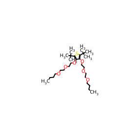 CCCCOCCOCCOc1c(C(C)(C)C)sc(C(C)(C)C)c1OCCOCCOCCCC